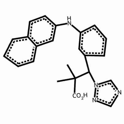 CC(C)(C(=O)O)C(c1cccc(Nc2ccc3ccccc3c2)c1)n1cncn1